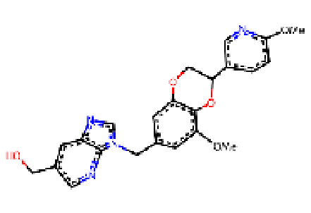 COc1ccc(C2COc3cc(Cn4cnc5cc(CO)cnc54)cc(OC)c3O2)cn1